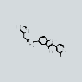 Cc1cc(-c2[nH]c3ccc(-c4nnc(Cc5c[nH]cn5)o4)cc3c2C(C)C)ccn1